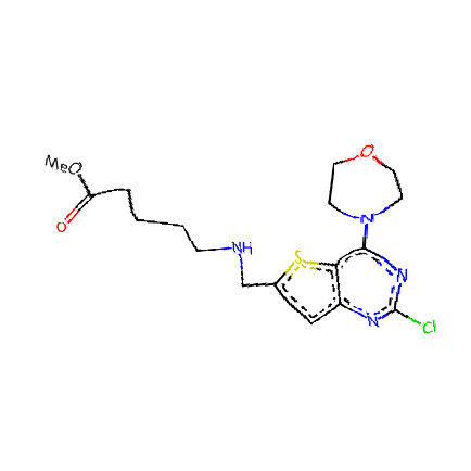 COC(=O)CCCCNCc1cc2nc(Cl)nc(N3CCOCC3)c2s1